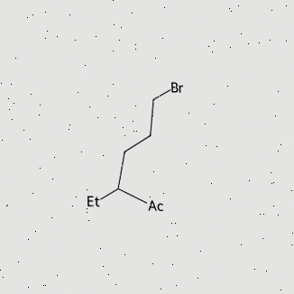 CCC(CCCBr)C(C)=O